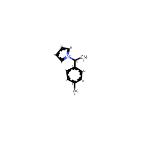 CC(=O)c1ccc(C(C#N)n2cccc2)cc1